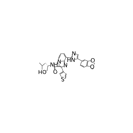 CC(C)C[C@@H](CO)NC(=O)c1c(-c2ccsc2)nc2c(-c3ncc(-c4ccc5c(c4)OCO5)[nH]3)cccn12